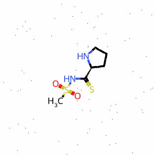 CS(=O)(=O)NC(=S)[C@@H]1CCCN1